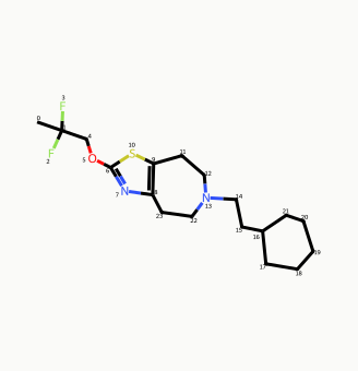 CC(F)(F)COc1nc2c(s1)CCN(CCC1CCCCC1)CC2